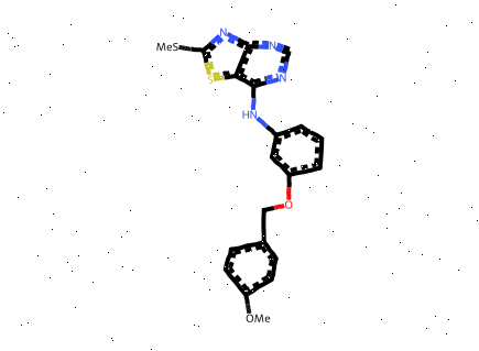 COc1ccc(COc2cccc(Nc3ncnc4nc(SC)sc34)c2)cc1